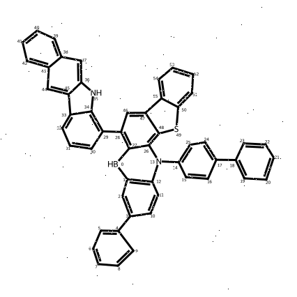 B1c2cc(-c3ccccc3)ccc2N(c2ccc(-c3ccccc3)cc2)c2c1c(-c1cccc3c1[nH]c1cc4ccccc4cc13)cc1c2sc2ccccc21